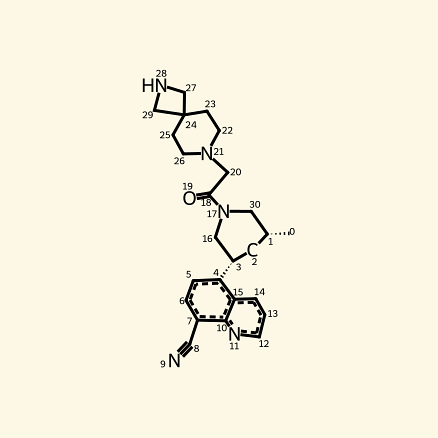 C[C@@H]1C[C@H](c2ccc(C#N)c3ncccc23)CN(C(=O)CN2CCC3(CC2)CNC3)C1